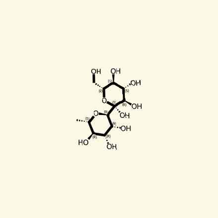 C[C@@H]1O[C@@H]([C@@]2(O)O[C@H](CO)[C@@H](O)[C@H](O)[C@H]2O)[C@H](O)[C@H](O)[C@H]1O